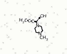 C#CC(=C=C=C)N1CCN(C)CC1